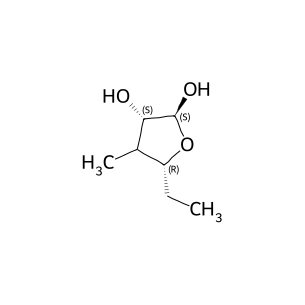 CC[C@H]1O[C@H](O)[C@@H](O)C1C